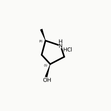 C[C@@H]1C[C@H](O)CN1.Cl